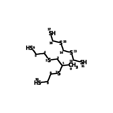 CC(CSCCS)SCCS.SCSCSCS